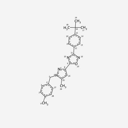 Cc1ccc(Cn2nc(-c3nc(-c4ccc(C(C)(C)C)cc4)no3)cc2C)cc1